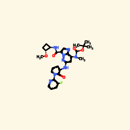 CO[C@@H]1CC[C@H]1NC(=O)c1cnc2c(N(C)C(=O)OC(C)(C)C)cc(Nc3cccn(-c4ncccc4F)c3=O)nn12